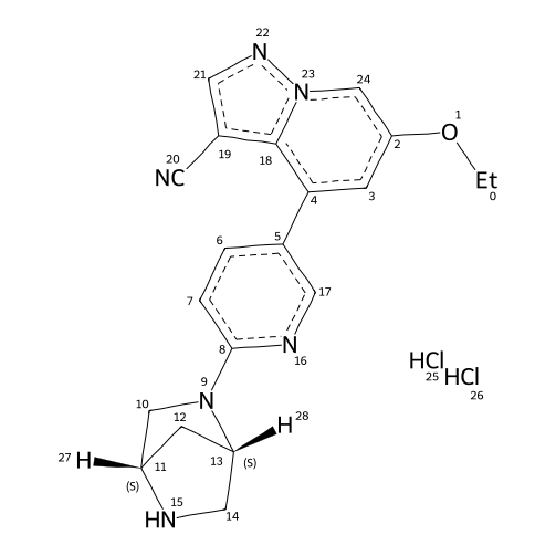 CCOc1cc(-c2ccc(N3C[C@@H]4C[C@H]3CN4)nc2)c2c(C#N)cnn2c1.Cl.Cl